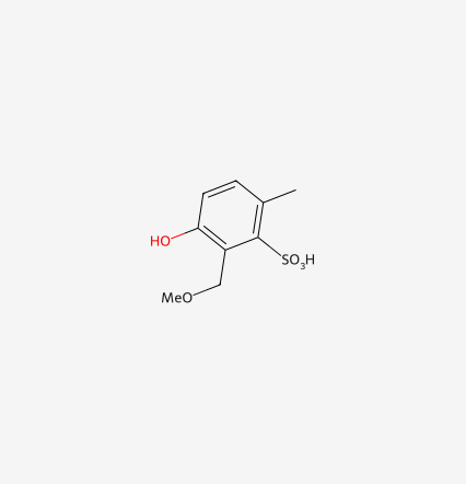 COCc1c(O)ccc(C)c1S(=O)(=O)O